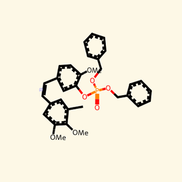 COc1ccc(/C=C\c2cc(C)c(OC)c(OC)c2)cc1OP(=O)(OCc1ccccc1)OCc1ccccc1